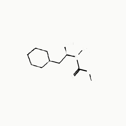 CCCCOC(=O)N(C)[C@@H](CC1CCCCC1)C(=O)O